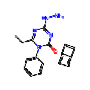 CCc1nc(NN)nc(=O)n1-c1ccccc1.c1cc2ccc1-2